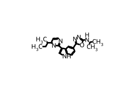 CCC(C)c1ccnc(-c2c[nH]c3ccc(-c4nnc(NC(C)C)o4)cc23)n1